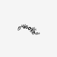 C[C@@H]1COCCN1CCN(C)c1ccc2c(n1)sc1nc(-c3ccc(NC(=O)Nc4cc(C(C)(C)C)on4)cc3)cn12